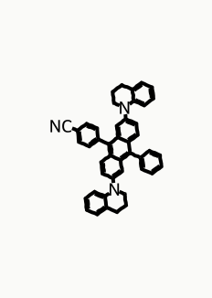 N#Cc1ccc(-c2c3ccc(N4CCCc5ccccc54)cc3c(-c3ccccc3)c3ccc(N4CCCc5ccccc54)cc23)cc1